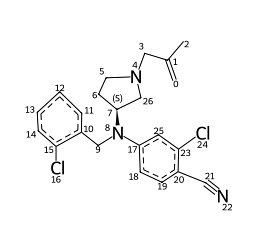 C=C(C)CN1CC[C@H](N(Cc2ccccc2Cl)c2ccc(C#N)c(Cl)c2)C1